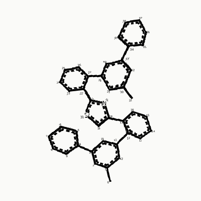 Cc1cc(-c2ccccc2)cc(-c2ccccc2-c2csc(-c3ccccc3-c3cc(C)cc(-c4ccccc4)c3)n2)c1